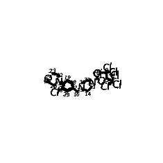 O=C(OC(C(Cl)(Cl)Cl)C(Cl)(Cl)Cl)N1CCN(Cc2ccc(N3CCOCC3)c(Cl)c2)CC1